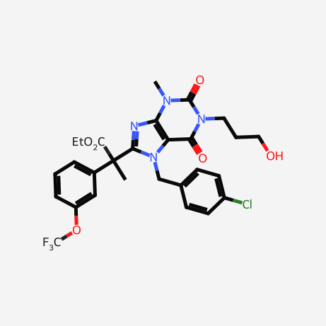 CCOC(=O)C(C)(c1cccc(OC(F)(F)F)c1)c1nc2c(c(=O)n(CCCO)c(=O)n2C)n1Cc1ccc(Cl)cc1